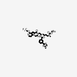 CN(CCCC[C@@H](CN1CCn2c(cc3c(OCC(F)(F)F)nccc32)C1=O)NC(=O)c1cccc(-c2nnn(C)n2)c1)C(=O)OC(C)(C)C